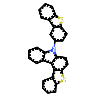 c1ccc2c(c1)sc1ccc(-n3c4ccccc4c4c5c(ccc43)sc3ccccc35)cc12